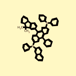 CC1(C)c2cc(-c3c4ccc(N(c5ccccc5)c5ccc6ccccc6c5)cc4c(-c4ccccc4)c4ccc(N(c5ccccc5)c5ccccc5)cc34)ccc2C2C=CC=CC21